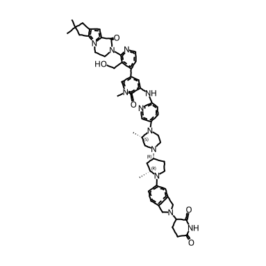 C[C@@H]1C[C@H](N2CCN(c3ccc(Nc4cc(-c5ccnc(N6CCn7c(cc8c7CC(C)(C)C8)C6=O)c5CO)cn(C)c4=O)nc3)[C@@H](C)C2)CCN1c1ccc2c(c1)CN(C1CCC(=O)NC1=O)C2